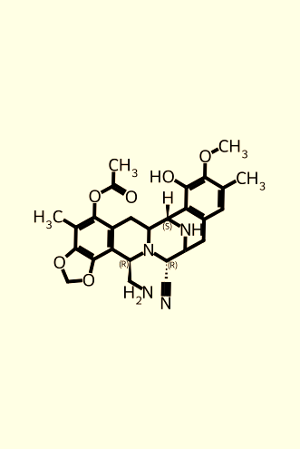 COc1c(C)cc2c(c1O)[C@@H]1NC(C2)[C@H](C#N)N2C1Cc1c(OC(C)=O)c(C)c3c(c1[C@@H]2CN)OCO3